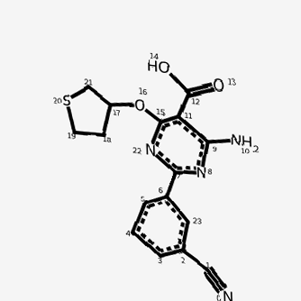 N#Cc1cccc(-c2nc(N)c(C(=O)O)c(OC3CCSC3)n2)c1